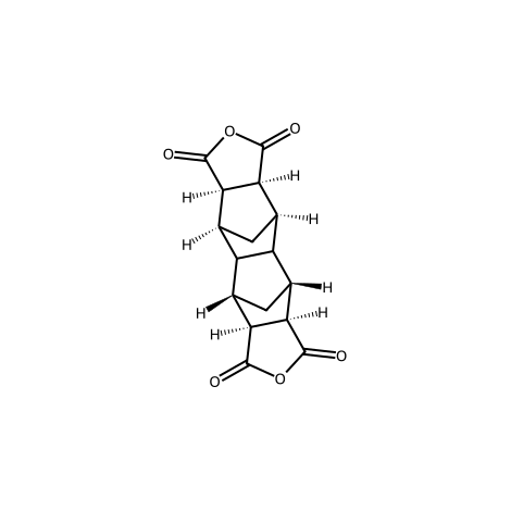 O=C1OC(=O)[C@H]2[C@@H]1[C@@H]1C[C@H]2C2C1[C@H]1C[C@@H]2[C@@H]2C(=O)OC(=O)[C@@H]21